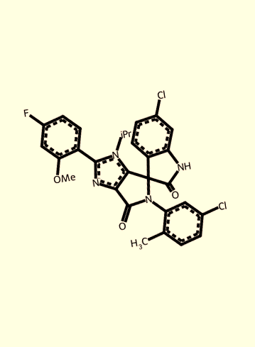 COc1cc(F)ccc1-c1nc2c(n1C(C)C)C1(C(=O)Nc3cc(Cl)ccc31)N(c1cc(Cl)ccc1C)C2=O